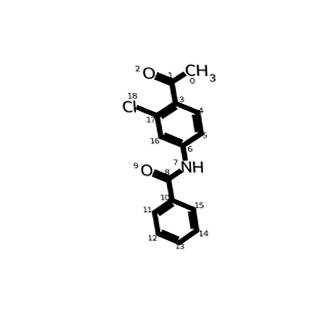 CC(=O)c1ccc(NC(=O)c2ccccc2)cc1Cl